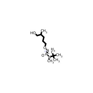 CC(CO)CCCO/N=[N+](\[O-])N(C)C(C)(C)C